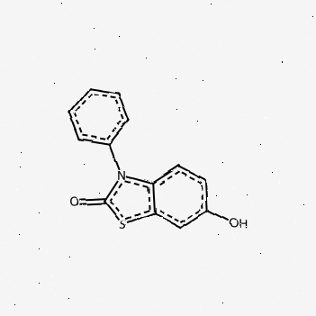 O=c1sc2cc(O)ccc2n1-c1ccccc1